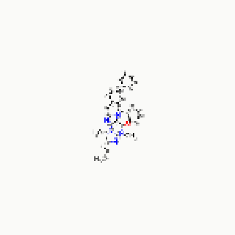 CCC[C@H]1N=C2N(C)C(=O)c3c(nc(Cc4ccc(-c5ccccc5)cc4)n3Cc3ccccc3)N2[C@H]1C